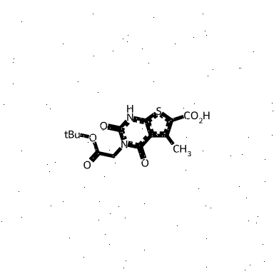 Cc1c(C(=O)O)sc2[nH]c(=O)n(CC(=O)OC(C)(C)C)c(=O)c12